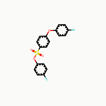 O=S(=O)(Oc1ccc(F)cc1)c1ccc(Oc2ccc(F)cc2)cc1